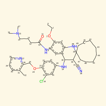 CCOc1cc2c(cc1NC(=O)CCCN(C)C)C(Nc1ccc(OCc3ncccc3C)c(Cl)c1)C(C#N)C1(CCCCCCCC1)N2